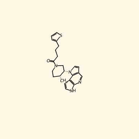 C[C@@H]1CCN(C(=O)CCCc2cccs2)C[C@@H]1n1ccc2cnc3[nH]ccc3c21